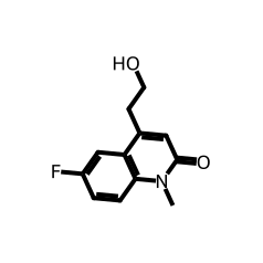 Cn1c(=O)cc(CCO)c2cc(F)ccc21